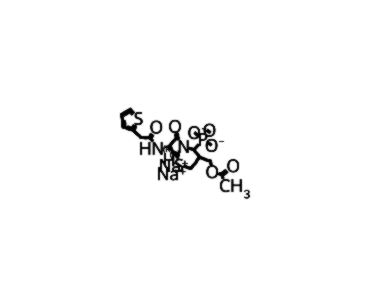 CC(=O)OCC1CS[C@@H]2[C@H](NC(=O)Cc3cccs3)C(=O)N2C1P(=O)([O-])[O-].[Na+].[Na+]